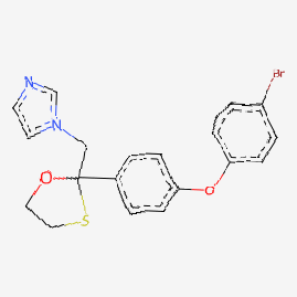 Brc1ccc(Oc2ccc(C3(Cn4ccnc4)OCCS3)cc2)cc1